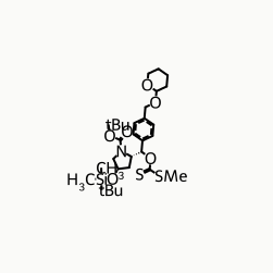 CSC(=S)OC(c1ccc(COC2CCCCO2)cc1)[C@@H]1C[C@@H](O[Si](C)(C)C(C)(C)C)CN1C(=O)OC(C)(C)C